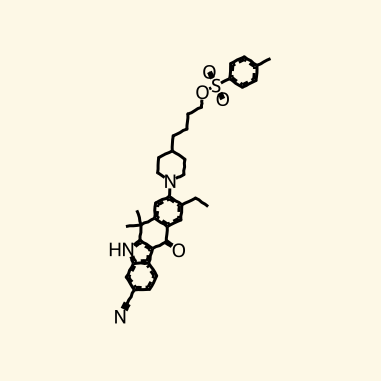 CCc1cc2c(cc1N1CCC(CCCCOS(=O)(=O)c3ccc(C)cc3)CC1)C(C)(C)c1[nH]c3cc(C#N)ccc3c1C2=O